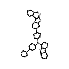 c1ccc(-c2ccc(N(c3ccc(-c4ccc5c(c4)sc4ncc6ccccc6c45)cc3)c3cccc4c3sc3ccccc34)cc2)cc1